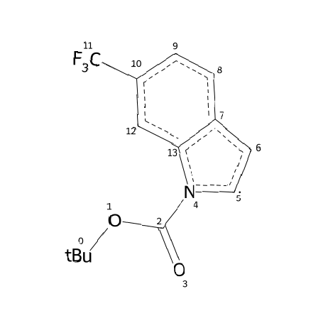 CC(C)(C)OC(=O)n1[c]cc2ccc(C(F)(F)F)cc21